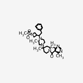 Cc1ncnc(C)c1C(=O)N1CCC(C)(N2CCN(C(Cc3ccccc3)C3CN(S(C)(=O)=O)C3)[C@@H](C)C2)CC1